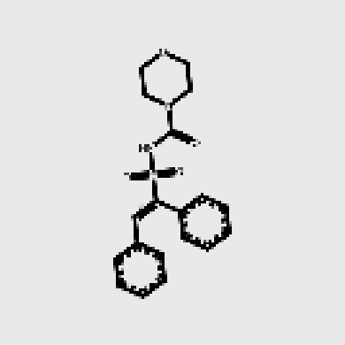 O=C(NS(=O)(=O)/C(=C/c1ccccc1)c1ccccc1)N1CCOCC1